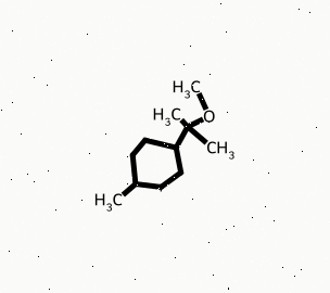 COC(C)(C)C1C[CH]C(C)CC1